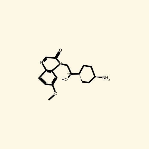 COc1ccc2ncc(=O)n(C[C@H](O)[C@H]3CC[C@H](N)CC3)c2c1